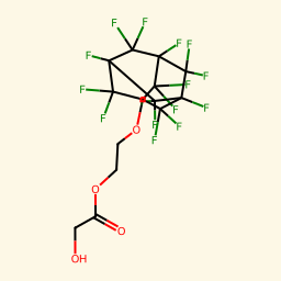 O=C(CO)OCCOC12C(F)(F)C3(F)C(F)(F)C(F)(C(F)(F)C(F)(C3(F)F)C1(F)F)C2(F)F